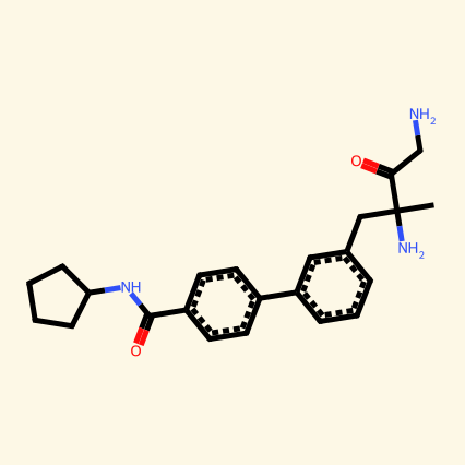 CC(N)(Cc1cccc(-c2ccc(C(=O)NC3CCCC3)cc2)c1)C(=O)CN